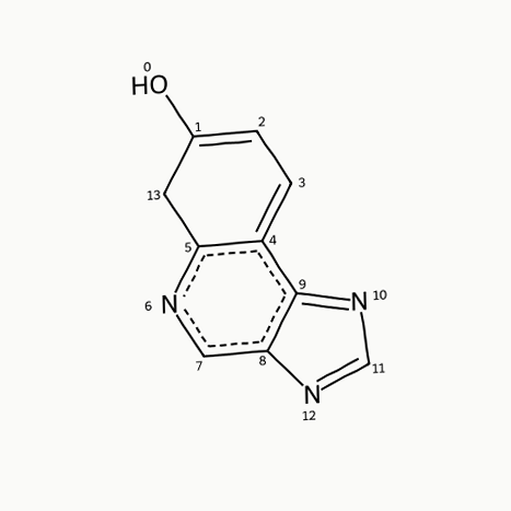 OC1=CC=c2c(ncc3c2=NC=N3)C1